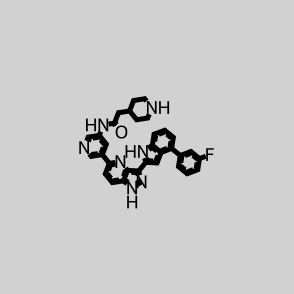 O=C(CC1CCNCC1)Nc1cncc(-c2ccc3[nH]nc(-c4cc5c(-c6cccc(F)c6)cccc5[nH]4)c3n2)c1